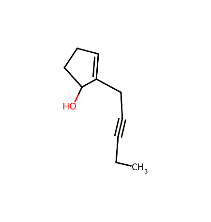 CCC#CCC1=CCCC1O